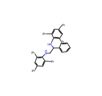 CC(C)c1cc(C(C)C)c(NCC(Nc2c(C(C)C)cc(C(C)C)cc2C(C)C)c2ccccc2)c(C(C)C)c1